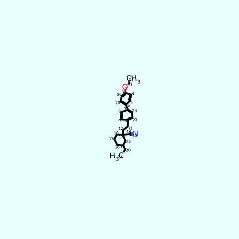 CCOc1ccc(-c2ccc(CCC3(C#N)CCCC(CC)C3)cc2)cc1